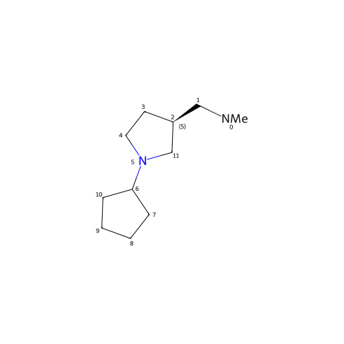 CNC[C@@H]1CCN(C2CCCC2)C1